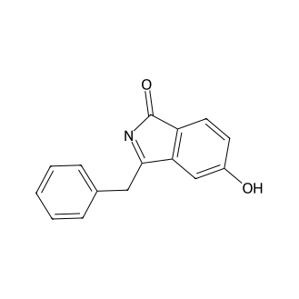 O=C1N=C(Cc2ccccc2)c2cc(O)ccc21